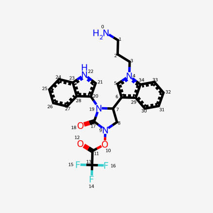 NCCCn1cc(C2CN(OC(=O)C(F)(F)F)C(=O)N2c2c[nH]c3ccccc23)c2ccccc21